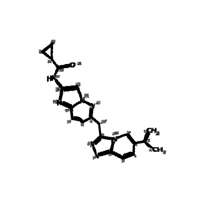 C=C(C)c1ccc2nnc(Cc3ccc4nc(NC(=O)C5CC5)cn4n3)n2c1